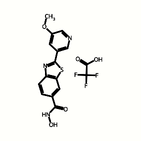 COc1cncc(-c2nc3ccc(C(=O)NO)cc3s2)c1.O=C(O)C(F)(F)F